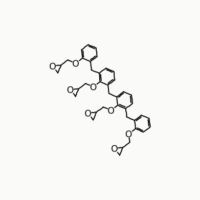 c1ccc(OCC2CO2)c(Cc2cccc(Cc3cccc(Cc4ccccc4OCC4CO4)c3OCC3CO3)c2OCC2CO2)c1